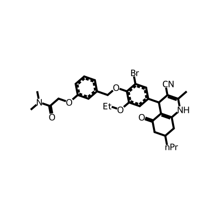 CCCC1CC(=O)C2=C(C1)NC(C)=C(C#N)C2c1cc(Br)c(OCc2cccc(OCC(=O)N(C)C)c2)c(OCC)c1